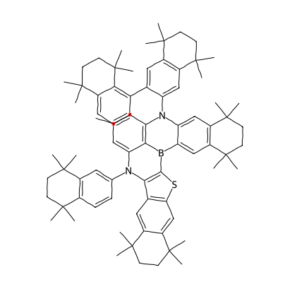 Cc1cc2c3c(c1)N(c1ccc4c(c1)C(C)(C)CCC4(C)C)c1c(sc4cc5c(cc14)C(C)(C)CCC5(C)C)B3c1cc3c(cc1N2c1cc2c(cc1-c1cccc4c1C(C)(C)CCC4(C)C)C(C)(C)CCC2(C)C)C(C)(C)CCC3(C)C